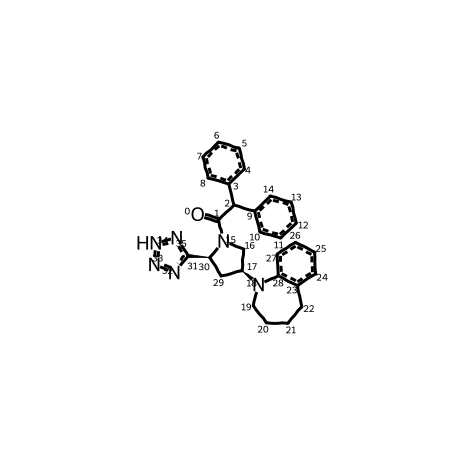 O=C(C(c1ccccc1)c1ccccc1)N1C[C@@H](N2CCCCc3ccccc32)C[C@H]1c1nn[nH]n1